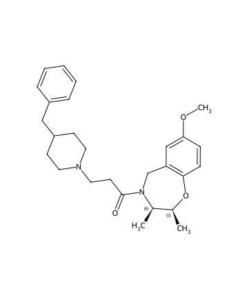 COc1ccc2c(c1)CN(C(=O)CCN1CCC(Cc3ccccc3)CC1)[C@H](C)[C@H](C)O2